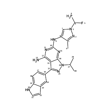 Cc1nn(C(F)P)cc1Nc1nc(N)c2c(-c3ccc4[nH]ccc4c3)nn(C(C)C)c2n1